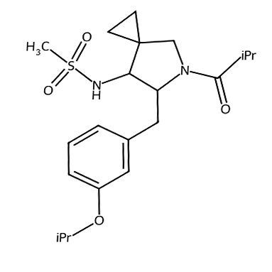 CC(C)Oc1cccc(CC2C(NS(C)(=O)=O)C3(CC3)CN2C(=O)C(C)C)c1